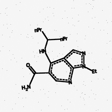 CCCC(CCC)Nc1c(C(N)=O)cnc2c1cnn2CC